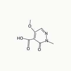 COc1cnn(C)c(=O)c1C(=O)O